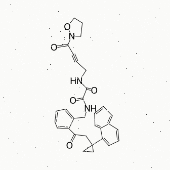 O=C(NCC#CC(=O)N1CCCO1)C(=O)NCc1ccccc1C(=O)CC1(c2cccc3ccccc23)CC1